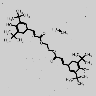 C=C.CC(C)(C)C1=CC(C=CC(=O)OCCOC(=O)C=CC2C=C(C(C)(C)C)C(O)=C(C(C)(C)C)C2)CC(C(C)(C)C)=C1O